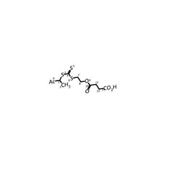 CC(=O)C(C)SC(=S)SCCOC(=O)CCC(=O)O